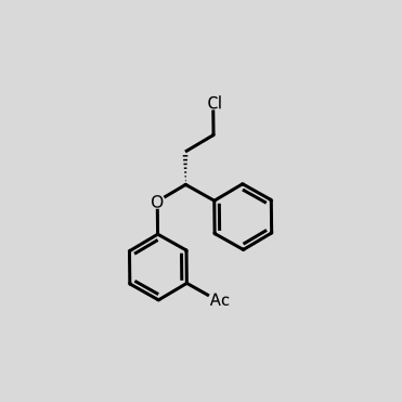 CC(=O)c1cccc(O[C@H](CCCl)c2ccccc2)c1